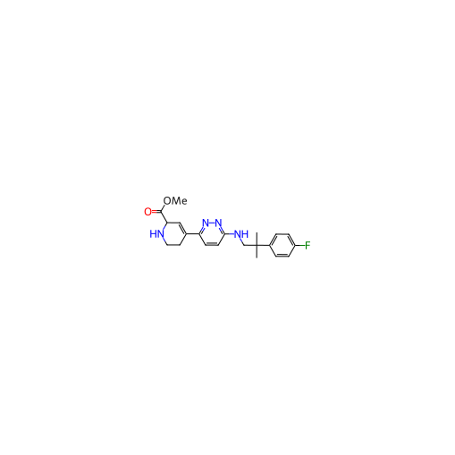 COC(=O)C1C=C(c2ccc(NCC(C)(C)c3ccc(F)cc3)nn2)CCN1